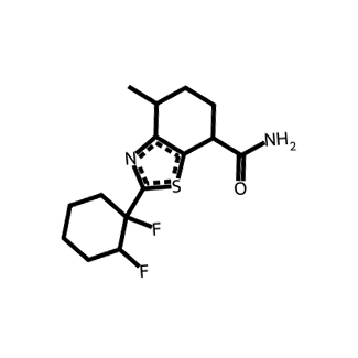 CC1CCC(C(N)=O)c2sc(C3(F)CCCCC3F)nc21